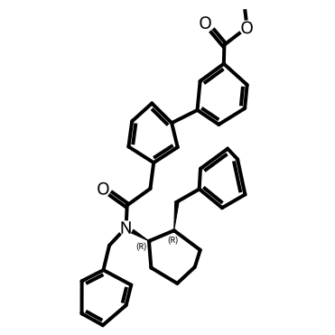 COC(=O)c1cccc(-c2cccc(CC(=O)N(Cc3ccccc3)[C@@H]3CCCC[C@@H]3Cc3ccccc3)c2)c1